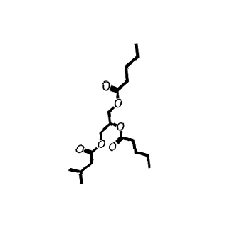 CCCCC(=O)OCC(COC(=O)CC(C)C)OC(=O)CCCC